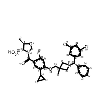 C[C@H]1OCN(C(=O)c2cc(C3CC3)c(OCC3(C)CN([C@H](c4ccccc4)c4cc(Cl)cc(Cl)c4)C3)cc2F)[C@@H]1C(=O)O